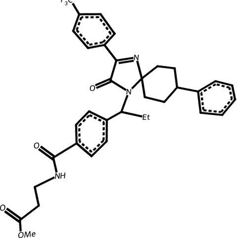 CCC(c1ccc(C(=O)NCCC(=O)OC)cc1)N1C(=O)C(c2ccc(C(F)(F)F)cc2)=NC12CCC(c1ccccc1)CC2